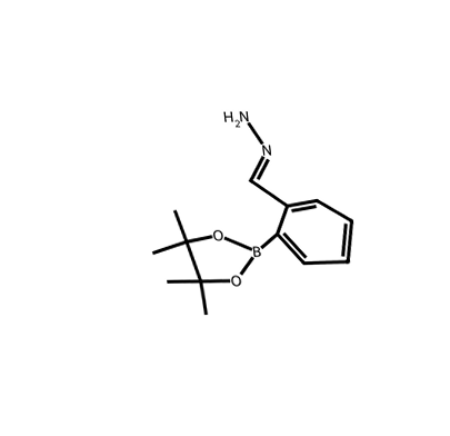 CC1(C)OB(c2ccccc2C=NN)OC1(C)C